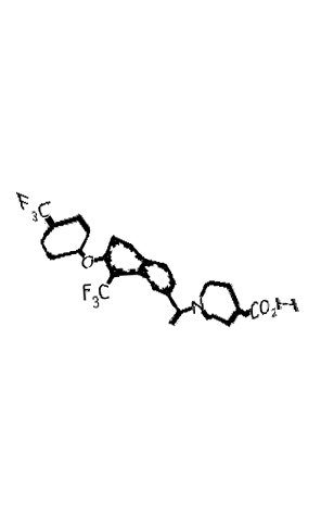 CC(c1ccc2ccc(OC3CCC(C(F)(F)F)CC3)c(C(F)(F)F)c2c1)N1CCC(C(=O)O)CC1